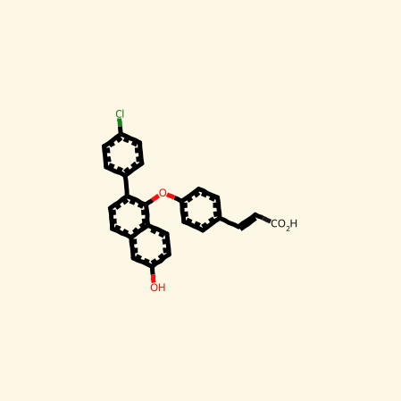 O=C(O)/C=C/c1ccc(Oc2c(-c3ccc(Cl)cc3)ccc3cc(O)ccc23)cc1